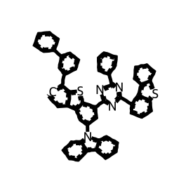 c1ccc(-c2cccc(-c3cccc4c3sc3c(-c5nc(-c6ccccc6)nc(-c6cccc7sc8ccccc8c67)n5)cc(-n5c6ccccc6c6ccccc65)cc34)c2)cc1